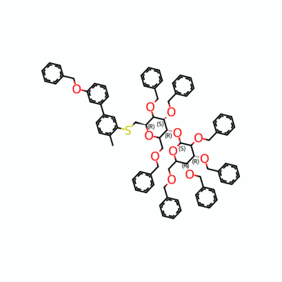 Cc1ccc(-c2cccc(OCc3ccccc3)c2)cc1SC[C@@H]1OC(COCc2ccccc2)[C@@H](O[C@@H]2OC(COCc3ccccc3)[C@@H](OCc3ccccc3)[C@@H](OCc3ccccc3)C2OCc2ccccc2)[C@@H](OCc2ccccc2)C1OCc1ccccc1